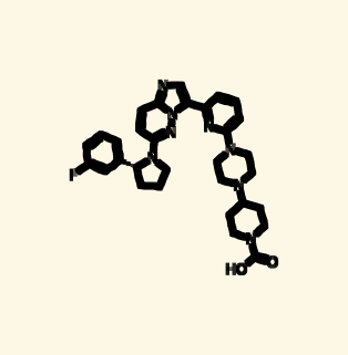 O=C(O)N1CCC(N2CCN(c3cccc(-c4cnc5ccc(N6CCC[C@@H]6c6cccc(F)c6)nn45)n3)CC2)CC1